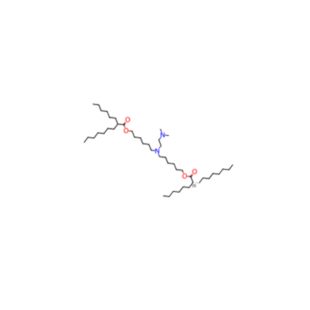 CCCCCCCC[C@H](CCCCCC)C(=O)OCCCCCCN(CCCCCCOC(=O)C(CCCCCC)CCCCCCC)CCN(C)C